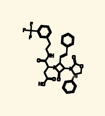 O=C(O)CC(C(=O)NCCc1cccc(C(F)(F)F)c1)N1C(=O)C(N2C(=O)OC[C@@H]2c2ccccc2)C1C=Cc1ccccc1